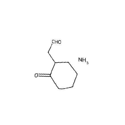 N.O=CCC1CCCCC1=O